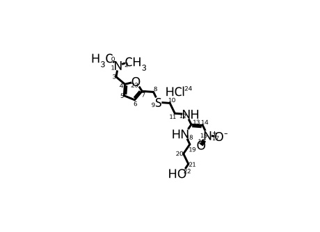 CN(C)Cc1ccc(CSCCN/C(=C/[N+](=O)[O-])NCCCO)o1.Cl